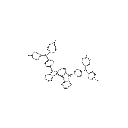 Cc1ccc(N(c2ccc(C)cc2)c2ccc(-n3c4ccccc4c4c5c6ccccc6n(-c6ccc(N(c7ccc(C)cc7)c7ccc(C)cc7)cc6)c5ccc43)cc2)cc1